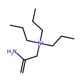 C=C(N)C[N+](CCC)(CCC)CCC